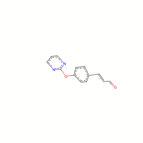 O=C/C=C/c1ccc(Oc2ncccn2)cc1